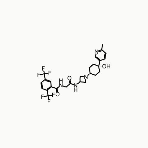 Cc1ccc([C@]2(O)CC[C@H](N3CC(NC(=O)CNC(=O)c4cc(C(F)(F)F)ccc4C(F)(F)F)C3)CC2)cn1